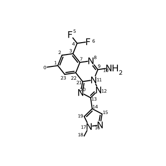 Cc1cc(C(F)F)c2nc(N)n3nc(-c4cnn(C)c4)nc3c2c1